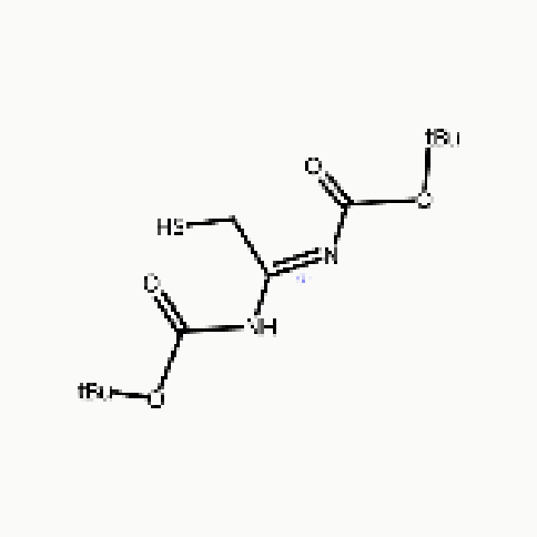 CC(C)(C)OC(=O)/N=C(\CS)NC(=O)OC(C)(C)C